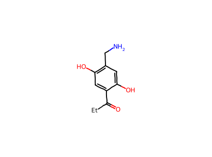 CCC(=O)c1cc(O)c(CN)cc1O